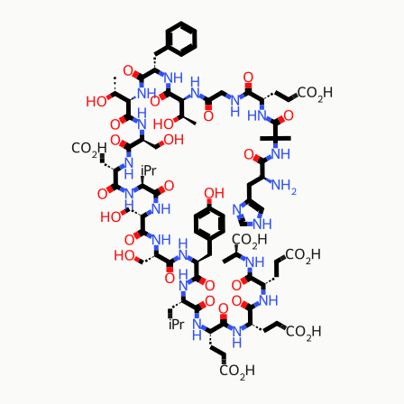 CC(C)C[C@H](NC(=O)[C@H](Cc1ccc(O)cc1)NC(=O)[C@H](CO)NC(=O)[C@H](CO)NC(=O)[C@@H](NC(=O)[C@H](CC(=O)O)NC(=O)[C@H](CO)NC(=O)[C@@H](NC(=O)[C@H](Cc1ccccc1)NC(=O)[C@@H](NC(=O)CNC(=O)[C@H](CCC(=O)O)NC(=O)C(C)(C)NC(=O)[C@@H](N)Cc1c[nH]cn1)[C@@H](C)O)[C@@H](C)O)C(C)C)C(=O)N[C@@H](CCC(=O)O)C(=O)N[C@@H](CCC(=O)O)C(=O)N[C@@H](CCC(=O)O)C(=O)N[C@@H](C)C(=O)O